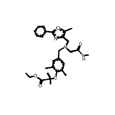 CCOC(=O)C(C)(C)Oc1c(C)cc(CN(CC(=O)NC)Cc2nc(-c3ccccc3)oc2C)cc1C